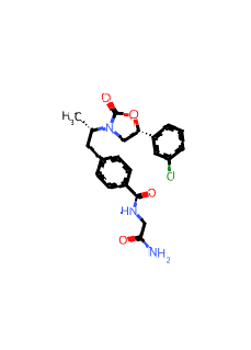 C[C@@H](Cc1ccc(C(=O)NCC(N)=O)cc1)N1C[C@@H](c2cccc(Cl)c2)OC1=O